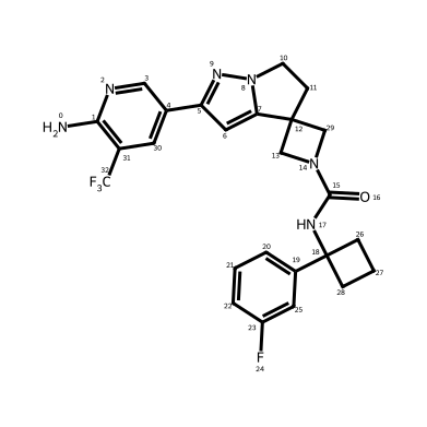 Nc1ncc(-c2cc3n(n2)CCC32CN(C(=O)NC3(c4cccc(F)c4)CCC3)C2)cc1C(F)(F)F